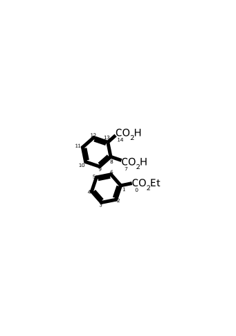 CCOC(=O)c1ccccc1.O=C(O)c1ccccc1C(=O)O